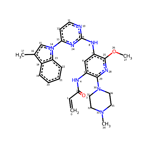 C=CC(=O)Nc1cc(Nc2nccc(-n3cc(C)c4ccccc43)n2)c(OC)nc1N1CCN(C)CC1